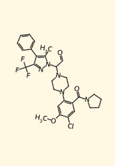 COc1cc(N2CCN(C(C=O)n3nc(C(F)(F)F)c(-c4ccccc4)c3C)CC2)c(C(=O)N2CCCC2)cc1Cl